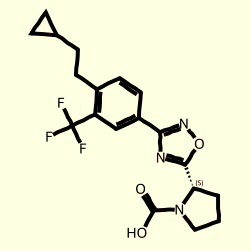 O=C(O)N1CCC[C@H]1c1nc(-c2ccc(CCC3CC3)c(C(F)(F)F)c2)no1